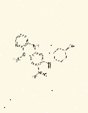 COc1ncccc1Nc1ncc([N+](=O)[O-])c(N[C@H]2CC[C@H](O)CC2)n1